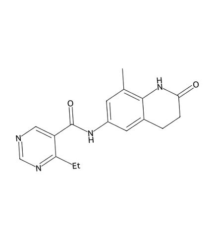 CCc1ncncc1C(=O)Nc1cc(C)c2c(c1)CCC(=O)N2